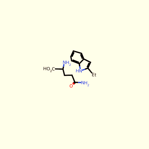 CCc1cc2ccccc2[nH]1.NC(=O)CCC(N)C(=O)O